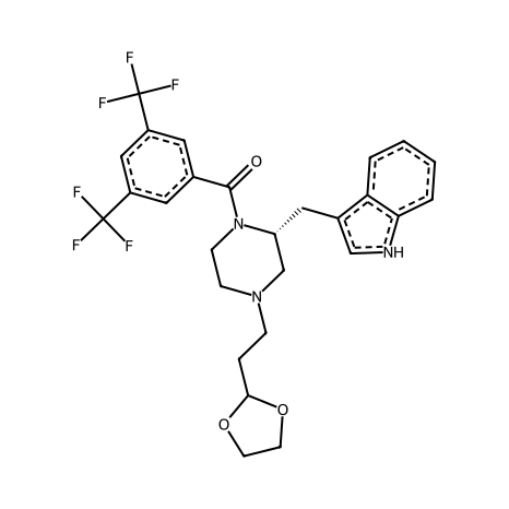 O=C(c1cc(C(F)(F)F)cc(C(F)(F)F)c1)N1CCN(CCC2OCCO2)C[C@H]1Cc1c[nH]c2ccccc12